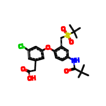 CC(C)(C)C(=O)Nc1ccc(Oc2cc(Cl)cc(CC(=O)O)c2)c(CS(=O)(=O)C(C)(C)C)c1